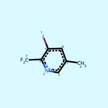 Cc1cnc(C(F)(F)F)c(I)c1